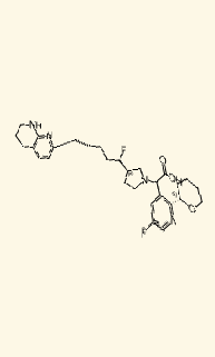 O=C(O)C(c1cc(F)cnc1[C@@H]1CCCCO1)N1CC[C@@H](C(F)CCCCc2ccc3c(n2)NCCC3)C1